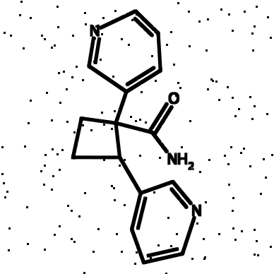 NC(=O)C1(c2cccnc2)CCC1c1cccnc1